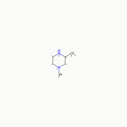 CC(C)N1CCNC(C(F)(F)F)C1